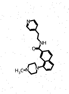 CN1CCN(c2cccc3ccc(C(=O)NCCc4ccncc4)cc23)CC1